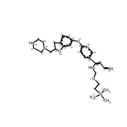 C[Si](C)(C)CCOCN/C(=C\C=N)c1ccc(Oc2ccc3c(c2)OC(CN2CCNCC2)C3)nc1